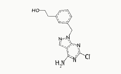 Nc1nc(Cl)nc2c1cnn2Cc1cccc(CCO)c1